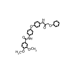 COc1ccc(C(=O)Nc2ccc(Oc3ccc(NC(=O)COc4ccccc4)cc3)cc2)cc1OC